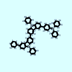 c1ccc(-c2ccc3c(c2)c2cc(-c4ccc5c(c4)c4cc(-c6ccc(N(c7ccccc7)c7ccccc7)cc6)ccc4n5-c4ccccc4)ccc2n3-c2ccccc2)cc1